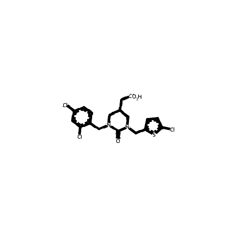 O=C(O)CC1CN(Cc2ccc(Cl)s2)C(=O)N(Cc2ccc(Cl)cc2Cl)C1